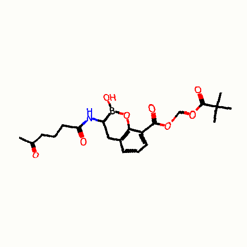 CC(=O)CCCC(=O)NC1Cc2cccc(C(=O)OCOC(=O)C(C)(C)C)c2OB1O